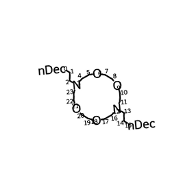 CCCCCCCCCCCCN1CCOCCOCCN(CCCCCCCCCCCC)CCOCCOCC1